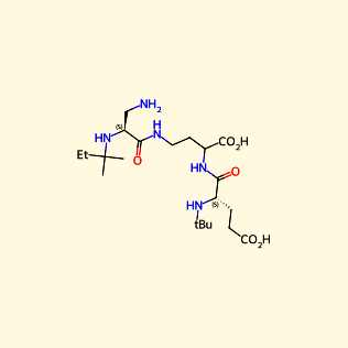 CCC(C)(C)N[C@@H](CN)C(=O)NCCC(NC(=O)[C@H](CCC(=O)O)NC(C)(C)C)C(=O)O